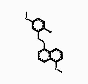 COc1ccc(Br)c(COc2cccc3c(OC)cccc23)c1